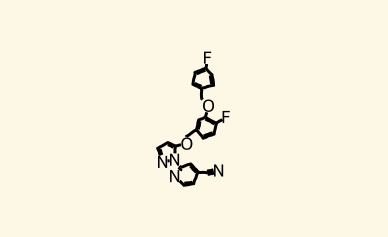 N#Cc1ccnc(-n2nccc2OCc2ccc(F)c(OCc3ccc(F)cc3)c2)c1